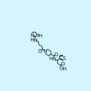 O=C(O)CC(NC(=O)C1CCN(C(=O)CCCNC2=NCCN2)CC1)c1ccsc1